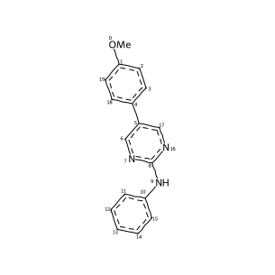 COc1ccc(-c2cnc(Nc3c[c]ccc3)nc2)cc1